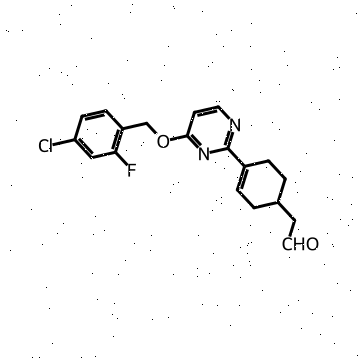 O=CCC1CC=C(c2nccc(OCc3ccc(Cl)cc3F)n2)CC1